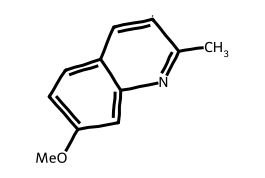 COc1ccc2c[c]c(C)nc2c1